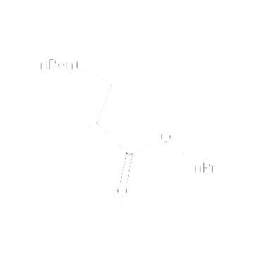 [CH2]CCCCCCC(=O)OCCC